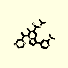 C=C(c1c(C)c(C(=O)OC(C)C)cc2c(-c3ccnc(N(C)C)c3)ccn12)C1CNCCO1